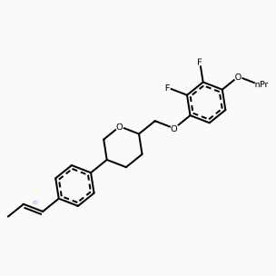 C/C=C/c1ccc(C2CCC(COc3ccc(OCCC)c(F)c3F)OC2)cc1